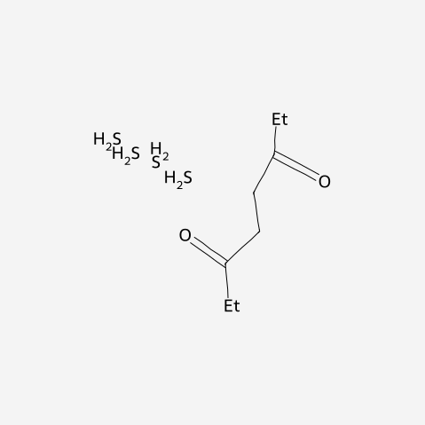 CCC(=O)CCC(=O)CC.S.S.S.S